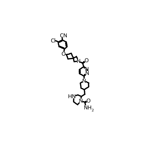 N#Cc1ccc(OC2CC3(C2)CN(C(=O)c2ccc(N4CCC(CC5CNCCN5C(N)=O)CC4)nn2)C3)cc1Cl